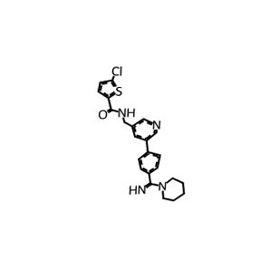 N=C(c1ccc(-c2cncc(CNC(=O)c3ccc(Cl)s3)c2)cc1)N1CCCCC1